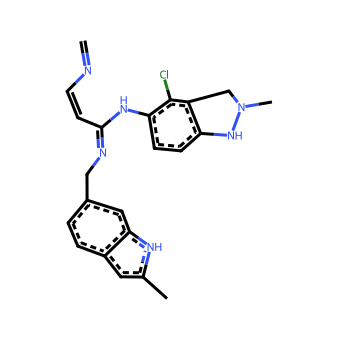 C=N/C=C\C(=N/Cc1ccc2cc(C)[nH]c2c1)Nc1ccc2c(c1Cl)CN(C)N2